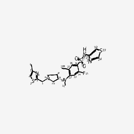 Cc1csc(CN2CC[C@H](N(C)c3cc(F)c(S(=O)(=O)Nc4cscn4)cc3C)C2)n1